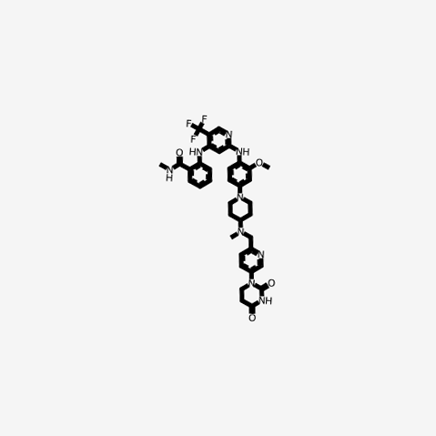 CNC(=O)c1ccccc1Nc1cc(Nc2ccc(N3CCC(N(C)Cc4ccc(N5CCC(=O)NC5=O)cn4)CC3)cc2OC)ncc1C(F)(F)F